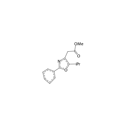 COC(=O)Cc1nc(-c2ccccc2)oc1C(C)C